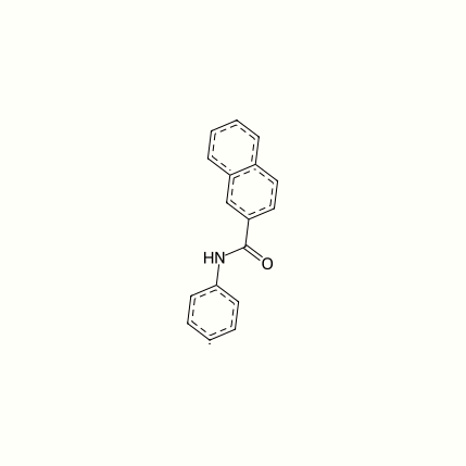 O=C(Nc1cc[c]cc1)c1ccc2ccccc2c1